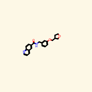 O=C(NCc1cccc(OCC2CCOC2)c1)c1ccc2ncccc2c1